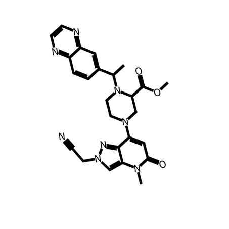 COC(=O)C1CN(c2cc(=O)n(C)c3cn(CC#N)nc23)CCN1C(C)c1ccc2nccnc2c1